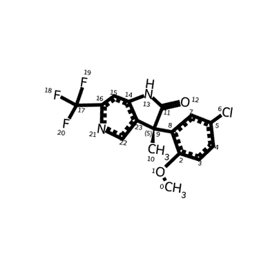 COc1ccc(Cl)cc1[C@@]1(C)C(=O)Nc2cc(C(F)(F)F)ncc21